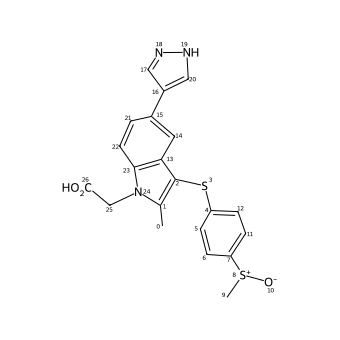 Cc1c(Sc2ccc([S+](C)[O-])cc2)c2cc(-c3cn[nH]c3)ccc2n1CC(=O)O